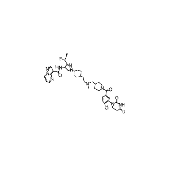 CN(CCC1CCC(n2cc(NC(=O)c3cnn4cccnc34)c(C(F)F)n2)CC1)CC1CCN(C(=O)c2ccc(Cl)c(N3CCC(=O)NC3=O)c2)CC1